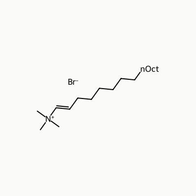 CCCCCCCCCCCCCCC=C[N+](C)(C)C.[Br-]